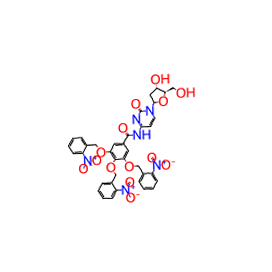 O=C(Nc1ccn([C@H]2C[C@H](O)[C@@H](CO)O2)c(=O)n1)c1cc(OCc2ccccc2[N+](=O)[O-])c(OCc2ccccc2[N+](=O)[O-])c(OCc2ccccc2[N+](=O)[O-])c1